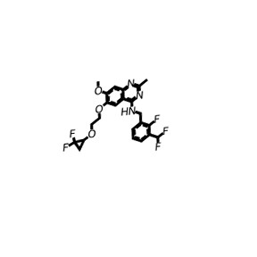 COc1cc2nc(C)nc(NCc3cccc(C(F)F)c3F)c2cc1OCCOC1CC1(F)F